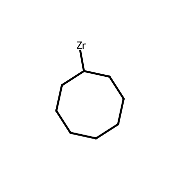 [Zr][CH]1CCCCCCC1